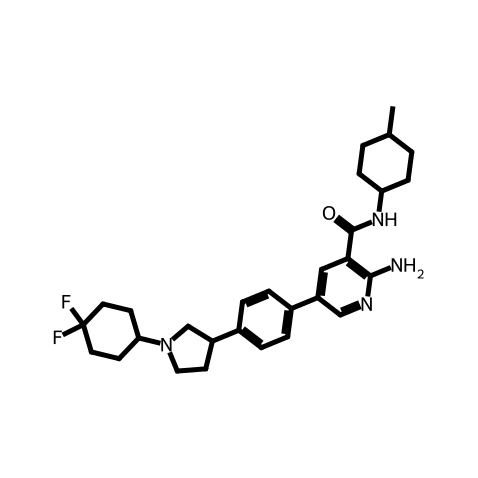 CC1CCC(NC(=O)c2cc(-c3ccc(C4CCN(C5CCC(F)(F)CC5)C4)cc3)cnc2N)CC1